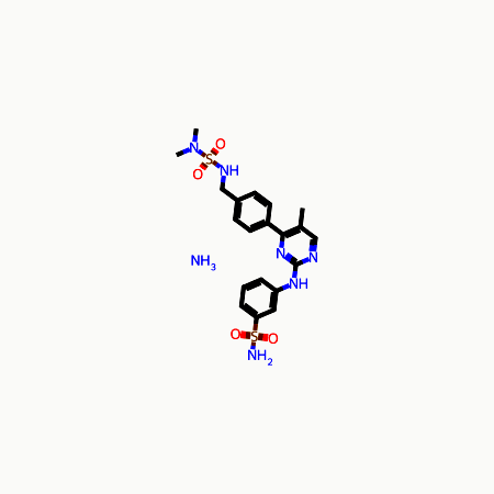 Cc1cnc(Nc2cccc(S(N)(=O)=O)c2)nc1-c1ccc(CNS(=O)(=O)N(C)C)cc1.N